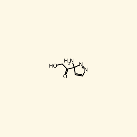 NC1(C(=O)CO)C=CN=N1